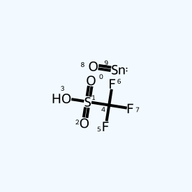 O=S(=O)(O)C(F)(F)F.[O]=[Sn]